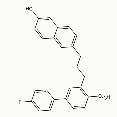 O=C(O)c1ccc(-c2ccc(F)cc2)cc1CCCc1ccc2cc(O)ccc2c1